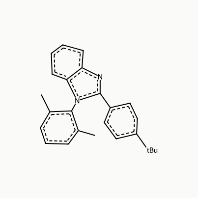 Cc1cccc(C)c1-n1c(-c2ccc(C(C)(C)C)cc2)nc2ccccc21